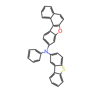 c1ccc(N(c2ccc3c(c2)oc2ccc4ccccc4c23)c2ccc3sc4ccccc4c3c2)cc1